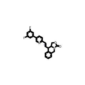 O=C1OCC2C(/C=C/c3ccc(-c4cc(F)cc(F)c4)cn3)c3ccccc3CN12